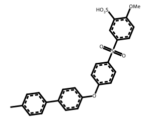 COc1ccc(S(=O)(=O)c2ccc(Oc3ccc(-c4ccc(C)cc4)cc3)cc2)cc1S(=O)(=O)O